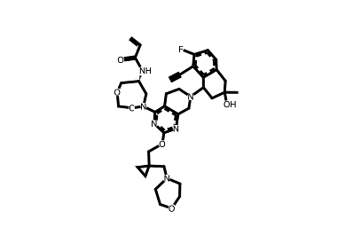 C#Cc1c(F)ccc2c1C(N1CCc3c(nc(OCC4(CN5CCOCC5)CC4)nc3N3CCOC[C@H](NC(=O)C=C)C3)C1)CC(C)(O)C2